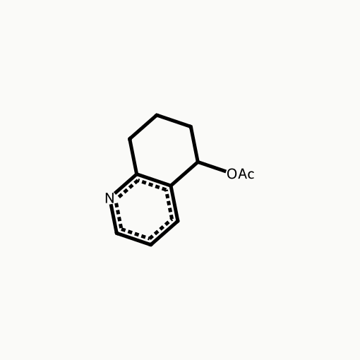 CC(=O)OC1CCCc2ncccc21